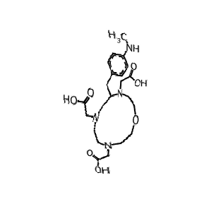 CNc1ccc(CC2CN(CC(=O)O)CCN(CC(=O)O)CCOCCN2CC(=O)O)cc1